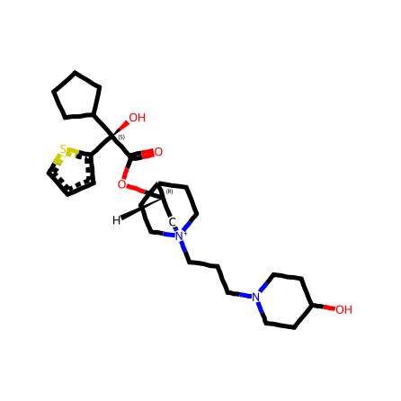 O=C(O[C@H]1C[N+]2(CCCN3CCC(O)CC3)CCC1CC2)[C@](O)(c1cccs1)C1CCCC1